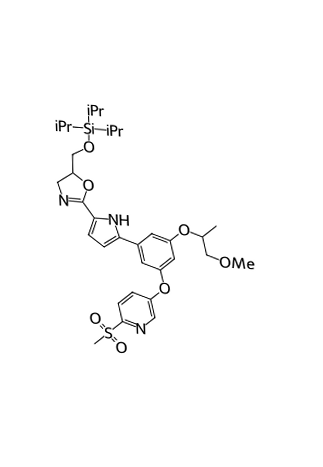 COCC(C)Oc1cc(Oc2ccc(S(C)(=O)=O)nc2)cc(-c2ccc(C3=NCC(CO[Si](C(C)C)(C(C)C)C(C)C)O3)[nH]2)c1